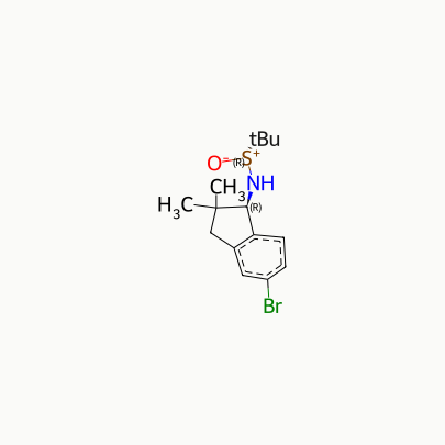 CC1(C)Cc2cc(Br)ccc2[C@@H]1N[S@@+]([O-])C(C)(C)C